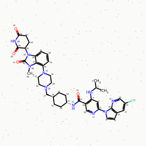 CC(C)Nc1cc(-n2ccc3cc(F)cnc32)ncc1C(=O)N[C@H]1CC[C@H](CN2CCN(c3cccc4c3n(C)c(=O)n4C3CCC(=O)NC3=O)CC2)CC1